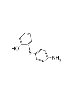 Nc1ccc(Sc2ccccc2O)cc1